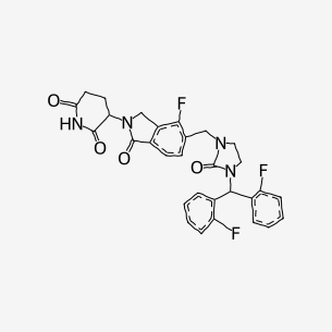 O=C1CCC(N2Cc3c(ccc(CN4CCN(C(c5ccccc5F)c5ccccc5F)C4=O)c3F)C2=O)C(=O)N1